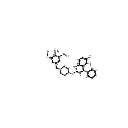 CCOc1cc(CN2CCC(Nc3nc(-c4ccccc4F)c4cc(Cl)ccc4n3)CC2)cc(OCC)c1N